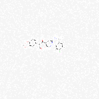 C[C@H](Nc1cc2c(=O)c(-c3ccc4c(c3)OCO4)coc2cn1)c1ccc(Cl)cc1